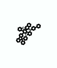 c1ccc(-c2ccc(N(c3cccc4ccccc34)c3cccc4oc5c(-c6ccc7c(c6)C(c6ccccc6)(c6ccccc6)c6ccccc6-7)c6c(cc5c34)oc3ccccc36)cc2)cc1